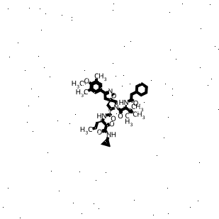 CCC[C@@H](NC(=O)[C@@H]1C[C@]2(CC(c3cc(C)c(OC)c(C)c3)=NO2)CN1C(=O)[C@@H](NC(=O)CC1CCCCC1)C(C)(C)C)C(=O)C(=O)NC1CC1